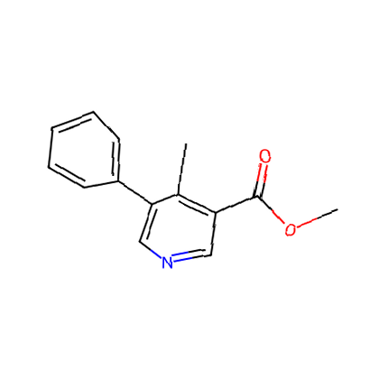 COC(=O)c1cncc(-c2ccccc2)c1C